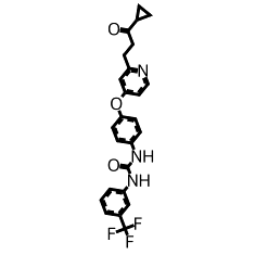 O=C(Nc1ccc(Oc2ccnc(CCC(=O)C3CC3)c2)cc1)Nc1cccc(C(F)(F)F)c1